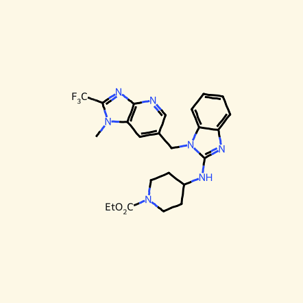 CCOC(=O)N1CCC(Nc2nc3ccccc3n2Cc2cnc3nc(C(F)(F)F)n(C)c3c2)CC1